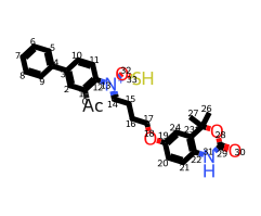 CC(=O)c1cc(-c2ccccc2)ccc1[N+](=CCCCOc1ccc2c(c1)C(C)(C)OC(=O)N2)OS